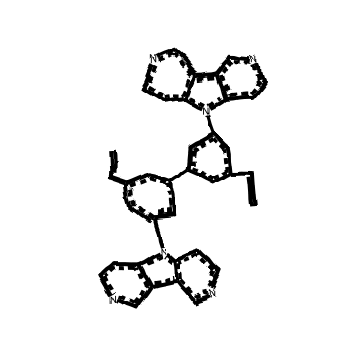 C=Cc1cc(-c2cc(C=C)cc(-n3c4ccncc4c4cnccc43)c2)cc(-n2c3ccncc3c3cnccc32)c1